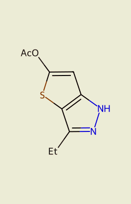 CCc1n[nH]c2cc(OC(C)=O)sc12